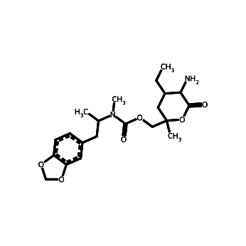 CCC1CC(C)(COC(=O)N(C)C(C)Cc2ccc3c(c2)OCO3)OC(=O)C1N